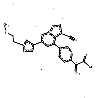 C=C(C(N)=O)c1ccc(-c2cc(-c3cnn(CCOC)c3)cn3ncc(C#N)c23)cn1